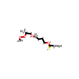 CCCCCCCC(=S)OCCC[SiH2]OCC(C)OOCCC